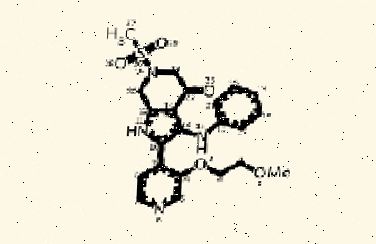 COCCOc1cnccc1-c1[nH]c2c(c1Nc1ccccc1)C(=O)CN(S(C)(=O)=O)C2